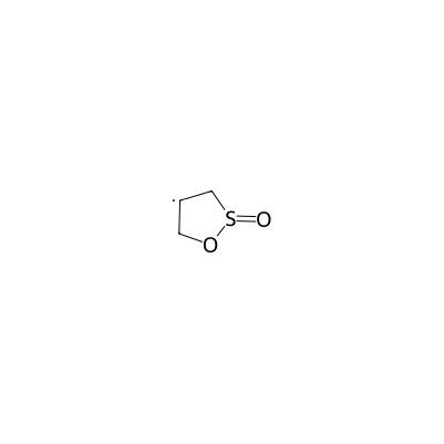 O=S1C[CH]CO1